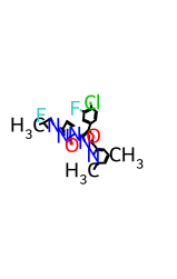 Cc1cc(C)nc(-c2nc(-n3ccc(N4CC(C)(F)C4)nc3=O)c(-c3ccc(Cl)c(F)c3)o2)c1